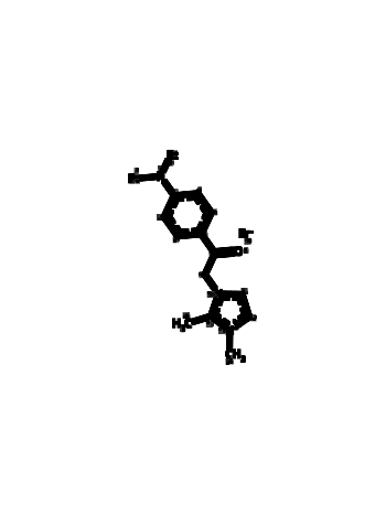 CCN(CC)c1ccc(C(=O)Cn2cc[n+](C)c2C)cc1.[Br-]